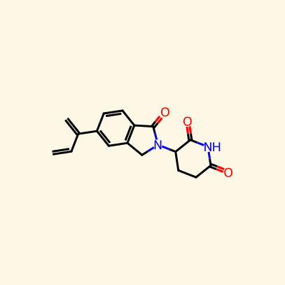 C=CC(=C)c1ccc2c(c1)CN(C1CCC(=O)NC1=O)C2=O